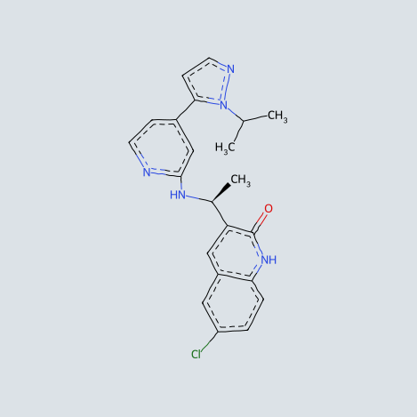 CC(C)n1nccc1-c1ccnc(N[C@@H](C)c2cc3cc(Cl)ccc3[nH]c2=O)c1